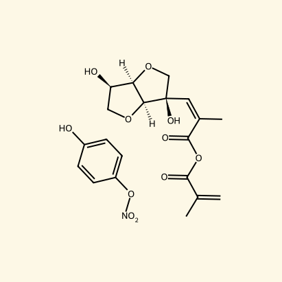 C=C(C)C(=O)OC(=O)C(C)=C[C@@]1(O)CO[C@@H]2[C@H](O)CO[C@@H]21.O=[N+]([O-])Oc1ccc(O)cc1